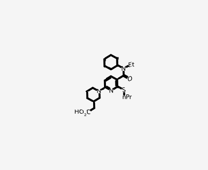 CCCSc1nc(N2CCCC(CC(=O)O)C2)ccc1C(=O)N(CC)C1CCCCC1